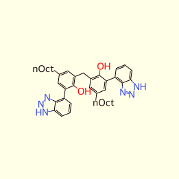 CCCCCCCCc1cc(Cc2cc(CCCCCCCC)cc(-c3cccc4[nH]nnc34)c2O)c(O)c(-c2cccc3[nH]nnc23)c1